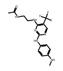 CNc1ccc(Nc2ncc(C(F)(F)F)c(NCCNC(C)=O)n2)cc1